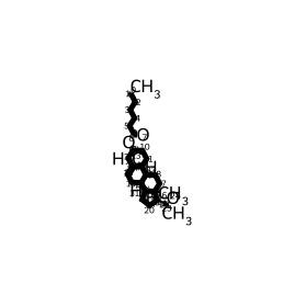 CCCCCCC(=O)O[C@H]1CC[C@@]2(C)C(=CC[C@H]3[C@@H]4CC[C@H](C(C)=O)[C@@]4(C)CC[C@@H]32)C1